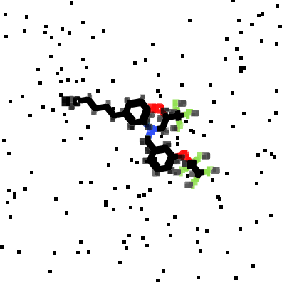 CCCCCc1cccc(N(Cc2cccc(OC(F)(F)C(F)F)c2)CC(O)C(F)(F)F)c1